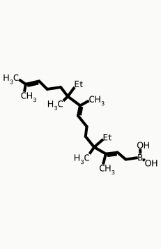 CCC(C)(CCC=C(C)C)/C(C)=C/CCC(C)(CC)/C(C)=C/CB(O)O